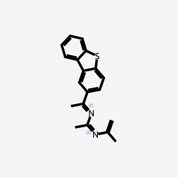 C=C(C)/N=C(C)\N=C(/C)c1ccc2sc3ccccc3c2c1